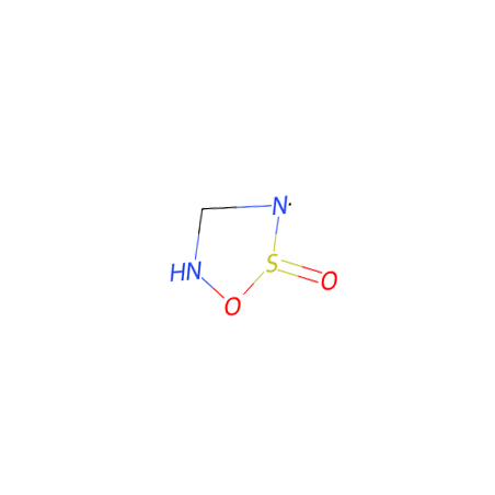 O=S1[N]CNO1